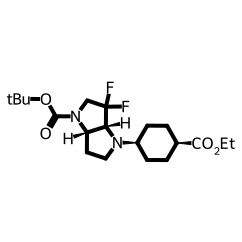 CCOC(=O)[C@H]1CC[C@@H](N2CC[C@H]3[C@@H]2C(F)(F)CN3C(=O)OC(C)(C)C)CC1